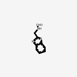 O=[C]NCc1nc2ccccc2s1